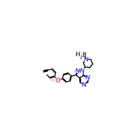 BN1CCCC(n2nc(-c3ccc(OC(/C=C\C#C)=C/C)cc3)c3cncnc32)C1